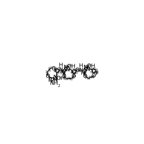 Nc1nc2cc3c1nc(O)n3Cc1cc(Nc3nc4cc5c3nc(O)n5Cc3cc(cc(OCNc5nc6cc7c5nc(O)n7Cc5ccc(F)c(c5)OC/C=C/CO6)c3)OC/C=C/CCO4)cc(c1)OC/C=C/CCO2